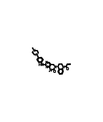 C=CC(=O)N1CC[C@@H](N2Cc3cnc(Nc4ccc(N5CCN(C)CC5)cc4)nc3N(C)C2=O)c2ccccc21